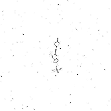 O=P(O)(O)CSc1nc2cc(C#Cc3ccc(Cl)cc3)c(Cl)cc2[nH]1